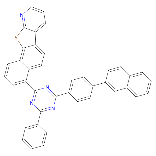 c1ccc(-c2nc(-c3ccc(-c4ccc5ccccc5c4)cc3)nc(-c3cccc4c3ccc3c5cccnc5sc43)n2)cc1